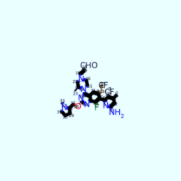 Cc1cc(N)nc(-c2c(SC(F)(F)F)cc3c(N4CCN(C=CC=O)C[C@@H]4C)nc(OCC4CCCN4C)nc3c2F)c1C(F)(F)F